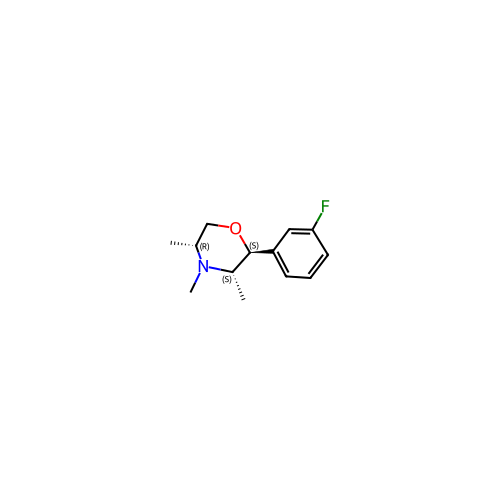 C[C@@H]1CO[C@@H](c2cccc(F)c2)[C@H](C)N1C